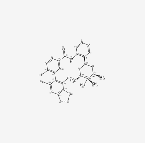 C[C@H]1C[C@@H](c2ccncc2NC(=O)c2ccc(F)c(-c3c(F)cc4c(c3F)OCC4)n2)C[C@@H](N)[C@]1(C)O